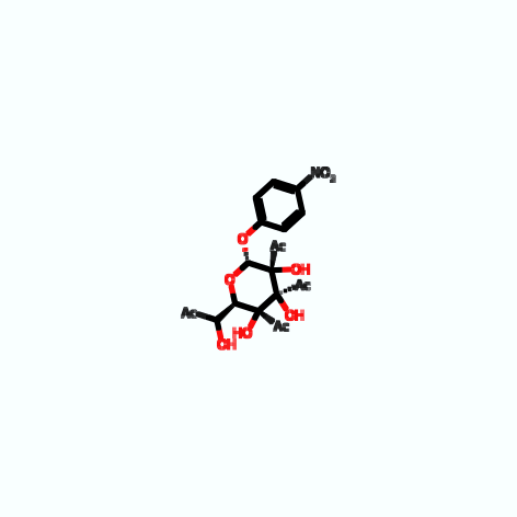 CC(=O)C(O)[C@H]1O[C@H](Oc2ccc([N+](=O)[O-])cc2)[C@@](O)(C(C)=O)[C@](O)(C(C)=O)[C@@]1(O)C(C)=O